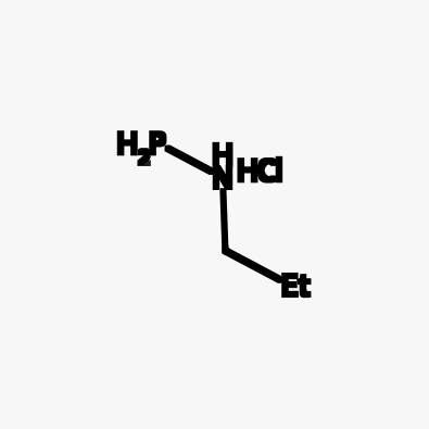 CCCNP.Cl